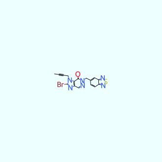 CC#CCn1c(Br)nc2cnn(Cc3ccc4nsnc4c3)c(=O)c21